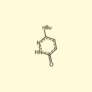 CCCCc1ccc(=O)[nH]n1